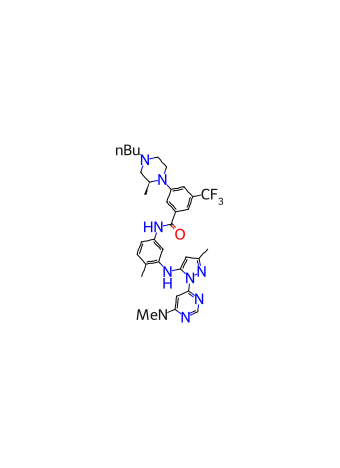 CCCCN1CCN(c2cc(C(=O)Nc3ccc(C)c(Nc4cc(C)nn4-c4cc(NC)ncn4)c3)cc(C(F)(F)F)c2)[C@@H](C)C1